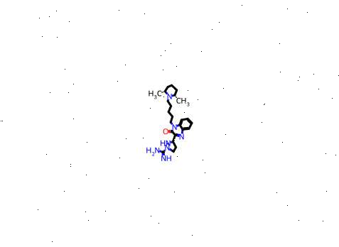 C[C@@H]1CCC[C@H](C)N1CCCCCn1c(=O)c(C2CCN(C(=N)N)N2)nc2ccccc21